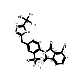 CS(=O)(=O)c1cc(Cc2nnc(C(F)(F)F)o2)ccc1N1C(=O)c2cccc(Cl)c2C1=O